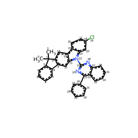 CC1(C)c2ccccc2-c2cc3c(cc21)c1ccc(Cl)cc1n3-c1nc(-c2ccccc2)c2ccccc2n1